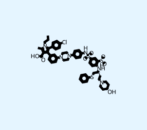 CCCn1c(C)c(C(=O)O)c(-c2cccc(N3CCN(c4ccc(NS(=O)(=O)c5ccc(N[C@H](CCN6CCC(O)CC6)CSc6ccccc6)c([SH](=O)=O)c5)cc4)CC3)c2)c1-c1ccc(Cl)cc1